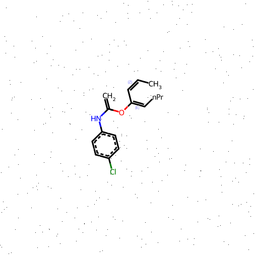 C=C(Nc1ccc(Cl)cc1)OC(/C=C\C)=C/CCC